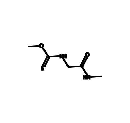 CNC(=O)CNC(=S)OC